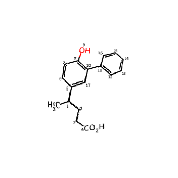 CC(CCC(=O)O)c1ccc(O)c(-c2ccccc2)c1